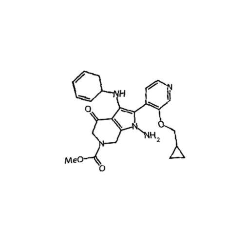 COC(=O)N1CC(=O)c2c(NC3C=CC=CC3)c(-c3ccncc3OCC3CC3)n(N)c2C1